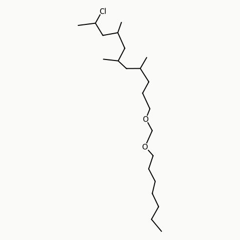 CCCCCCCOCOCCCC(C)CC(C)CC(C)CC(C)Cl